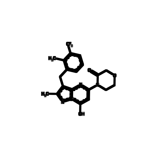 Cc1nn2c(O)cc(N3CCOCC3=O)nc2c1Cc1cccc(C(F)(F)F)c1C